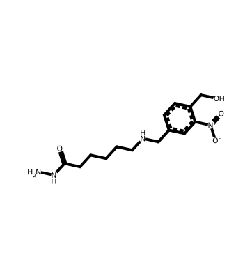 NNC(=O)CCCCCNCc1ccc(CO)c([N+](=O)[O-])c1